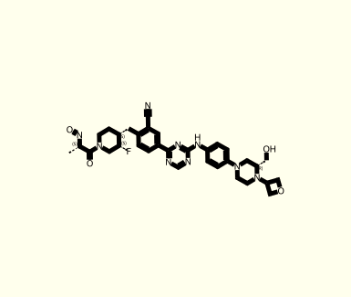 C[C@H](N=O)C(=O)N1CC[C@H](Cc2ccc(-c3ncnc(Nc4ccc(N5CCN(C6COC6)[C@@H](CO)C5)cc4)n3)cc2C#N)[C@H](F)C1